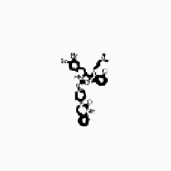 CN(C)CCCn1c(C(Cc2ccc(Br)c(Br)c2)NC(=O)ON2CCC(N3CCc4ccccc4NC3=O)CC2)nc2cccc(Cl)c21